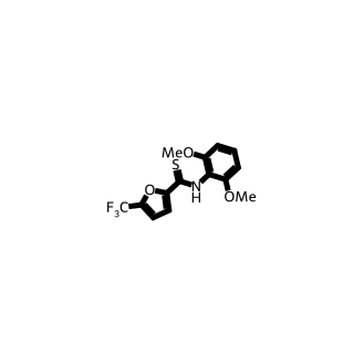 COc1cccc(OC)c1NC(=S)c1ccc(C(F)(F)F)o1